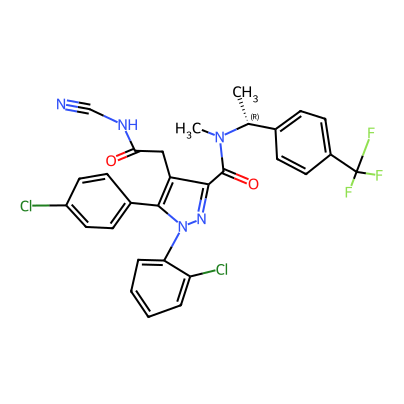 C[C@H](c1ccc(C(F)(F)F)cc1)N(C)C(=O)c1nn(-c2ccccc2Cl)c(-c2ccc(Cl)cc2)c1CC(=O)NC#N